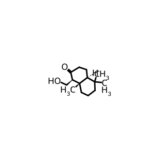 CC1(C)CCC[C@]2(C)[C@@H](CO)C(=O)CC[C@@H]12